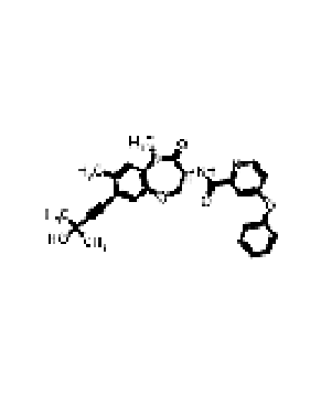 Cc1cc2c(cc1C#CC(C)(C)O)OC[C@@H](NC(=O)c1cc(Oc3ccccc3)ccn1)C(=O)N2C